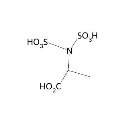 CC(C(=O)O)N(S(=O)(=O)O)S(=O)(=O)O